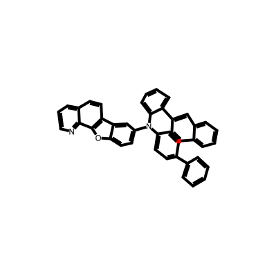 c1ccc(-c2ccc(N(c3ccc4oc5c(ccc6cccnc65)c4c3)c3ccccc3-c3ccc4ccccc4c3)cc2)cc1